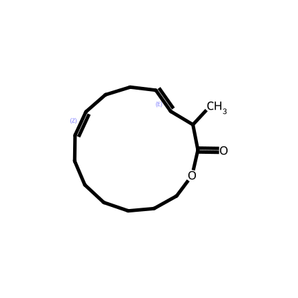 CC1/C=C/CC/C=C\CCCCCCOC1=O